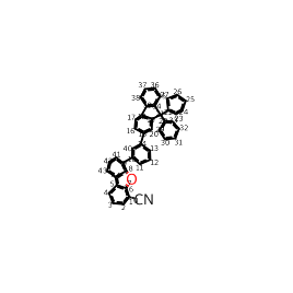 N#Cc1cccc2c1oc1c(-c3cccc(-c4ccc5c(c4)C(c4ccccc4)(c4ccccc4)c4ccccc4-5)c3)cccc12